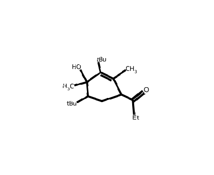 CCC(=O)C1CC(C(C)(C)C)C(C)(O)C(C(C)(C)C)=C1C